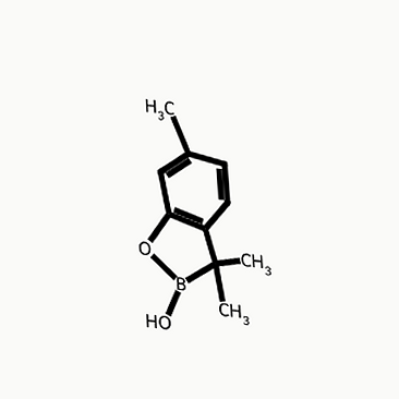 Cc1ccc2c(c1)OB(O)C2(C)C